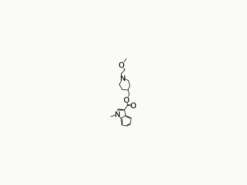 COCCN1CCC(COC(=O)c2cn(C)c3ccccc23)CC1